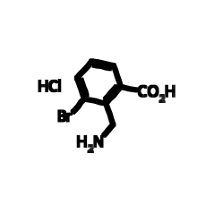 Cl.NCc1c(Br)cccc1C(=O)O